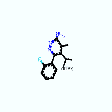 CCCCCCC(C)c1c(-c2ccccc2F)nnc(N)c1C